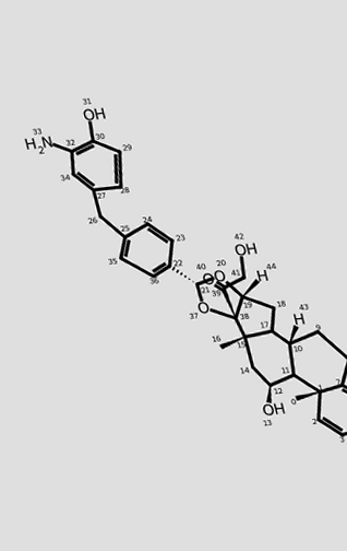 C[C@]12C=CC(=O)C=C1CC[C@@H]1C2[C@@H](O)C[C@@]2(C)C1C[C@H]1O[C@@H](c3ccc(Cc4ccc(O)c(N)c4)cc3)O[C@]12C(=O)CO